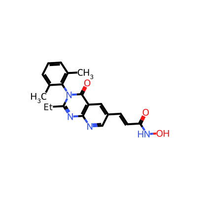 CCc1nc2ncc(/C=C/C(=O)NO)cc2c(=O)n1-c1c(C)cccc1C